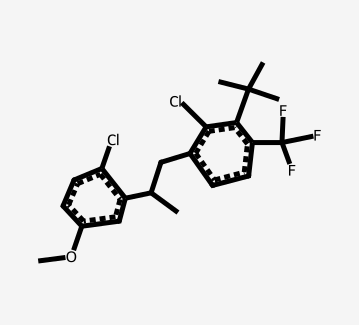 COc1ccc(Cl)c(C(C)Cc2ccc(C(F)(F)F)c(C(C)(C)C)c2Cl)c1